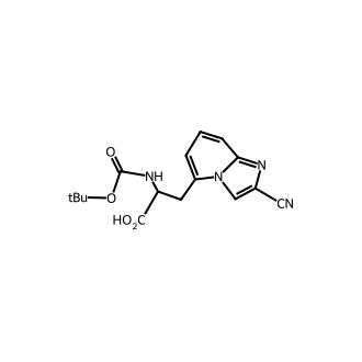 CC(C)(C)OC(=O)NC(Cc1cccc2nc(C#N)cn12)C(=O)O